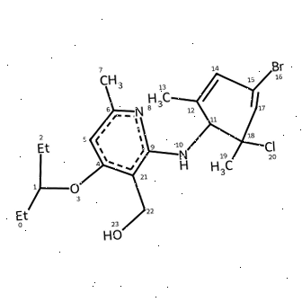 CCC(CC)Oc1cc(C)nc(NC2C(C)=CC(Br)=CC2(C)Cl)c1CO